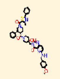 COc1ccc(CNc2ccc3ncn(CC4(O)CCN(C(=O)[C@@H]5CCN(C(=O)c6sc(-c7ccccc7)nc6C)C[C@H]5c5ccccc5)CC4)c(=O)c3n2)cc1